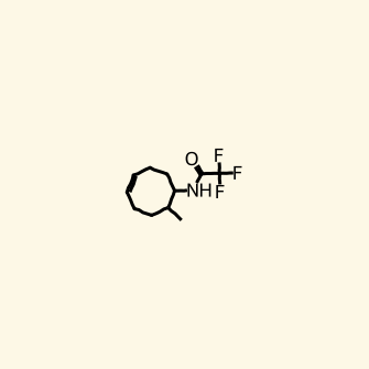 CC1CC/C=C\CCC1NC(=O)C(F)(F)F